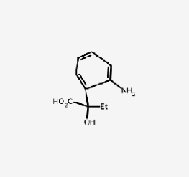 CCC(O)(C(=O)O)c1ccccc1N